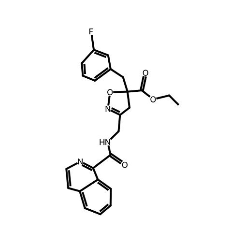 CCOC(=O)C1(Cc2cccc(F)c2)CC(CNC(=O)c2nccc3ccccc23)=NO1